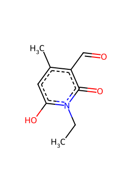 CCn1c(O)cc(C)c(C=O)c1=O